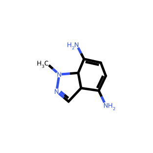 CN1N=CC2C(N)=CC=C(N)C21